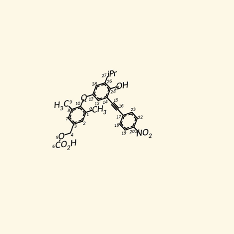 Cc1cc(COC(=O)O)cc(C)c1Oc1cc(C#Cc2ccc([N+](=O)[O-])cc2)c(O)c(C(C)C)c1